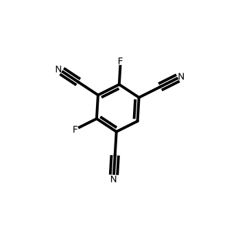 N#Cc1cc(C#N)c(F)c(C#N)c1F